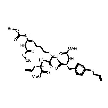 C=CCOc1ccc(C[C@H](NC(=O)OC)C(=O)N[C@@H](CCCCN=C(NC(=O)OC(C)(C)C)NC(=O)OC(C)(C)C)C(=O)N[C@@H](CC=C)C(=O)OC)cc1